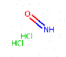 Cl.Cl.N=O